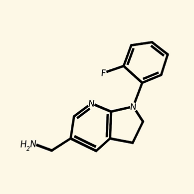 NCc1cnc2c(c1)CCN2c1ccccc1F